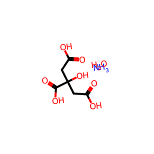 N.O.O=C(O)CC(O)(CC(=O)O)C(=O)O